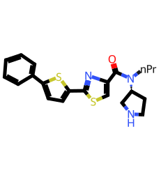 CCCN(C(=O)c1csc(-c2ccc(-c3ccccc3)s2)n1)[C@@H]1CCNC1